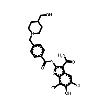 NC(=O)c1c(NC(=O)c2ccc(CN3CCC(CO)CC3)cc2)sc2c(Cl)c(O)c(Cl)cc12